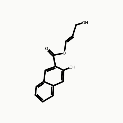 O=C(OC=CCO)c1cc2ccccc2cc1O